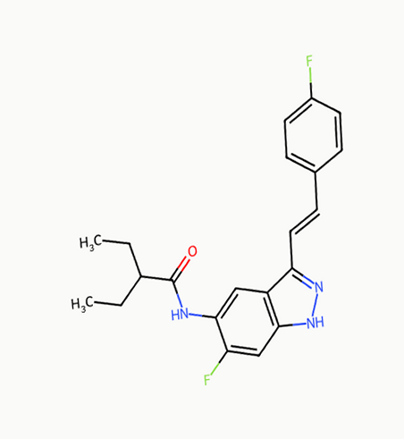 CCC(CC)C(=O)Nc1cc2c(/C=C/c3ccc(F)cc3)n[nH]c2cc1F